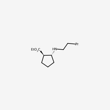 CCOC(=O)[C@@H]1CCC[C@H]1NCCC(C)C